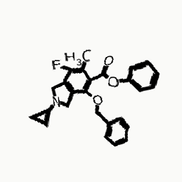 Cc1c(F)c2c(c(OCc3ccccc3)c1C(=O)Oc1ccccc1)CN(C1CC1)C2